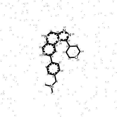 CN(C)Cc1ccc(-c2cc3c(cn2)ncc2nnc(C4CCOCC4)n23)cc1